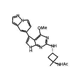 COc1nc(N[C@H]2C[C@](C)(NC(C)=O)C2)nc2[nH]cc(-c3ccn4nccc4c3)c12